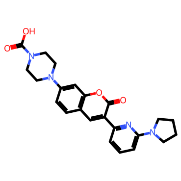 O=C(O)N1CCN(c2ccc3cc(-c4cccc(N5CCCC5)n4)c(=O)oc3c2)CC1